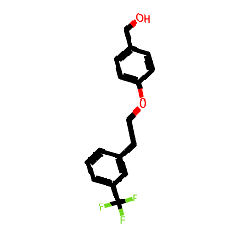 OCc1ccc(OCCc2cccc(C(F)(F)F)c2)cc1